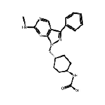 CNc1ncc2c(-c3ccccc3)nn(C[C@H]3CC[C@H](NC(=O)O)CC3)c2n1